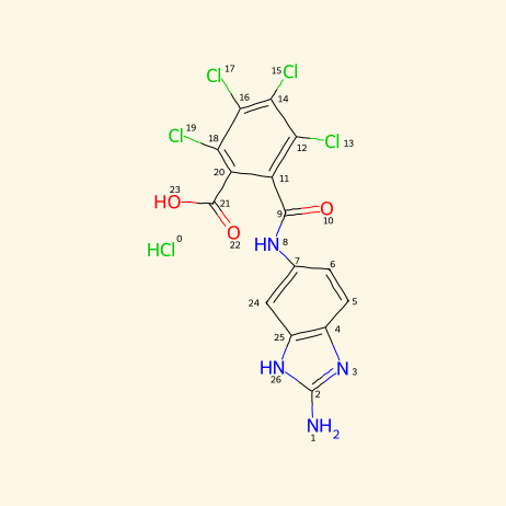 Cl.Nc1nc2ccc(NC(=O)c3c(Cl)c(Cl)c(Cl)c(Cl)c3C(=O)O)cc2[nH]1